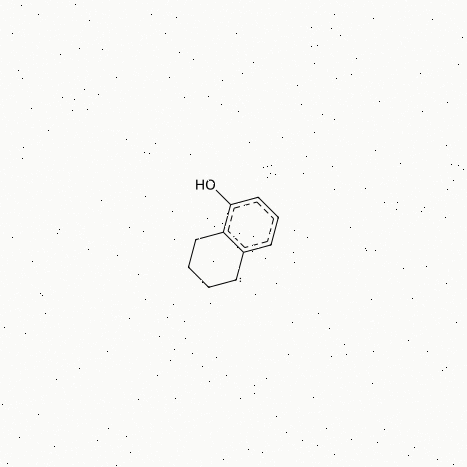 Oc1cccc2c1CCC[C]2